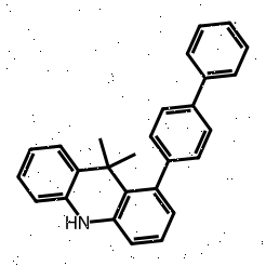 CC1(C)c2ccccc2Nc2cccc(-c3ccc(-c4cc[c]cc4)cc3)c21